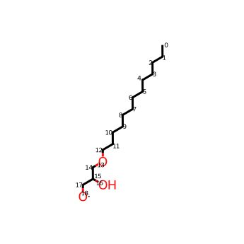 CCCCCCCCCCCCCOCC(O)C[O]